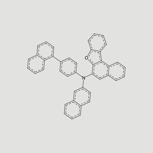 c1ccc2cc(N(c3ccc(-c4cccc5ccccc45)cc3)c3cc4ccccc4c4c3oc3ccccc34)ccc2c1